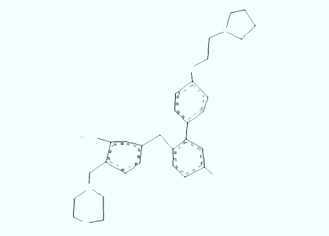 COc1cc(Cc2ccc(O)cc2-c2ccc(OCCN3CCCC3)cc2)ccc1CN1CCOCC1